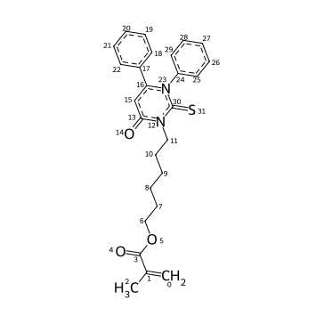 C=C(C)C(=O)OCCCCCCn1c(=O)cc(-c2ccccc2)n(-c2ccccc2)c1=S